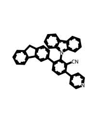 N#Cc1c(-c2ccncc2)ccc(-c2ccc3c(c2)-c2ccccc2C3)c1-n1c2ccccc2c2ccccc21